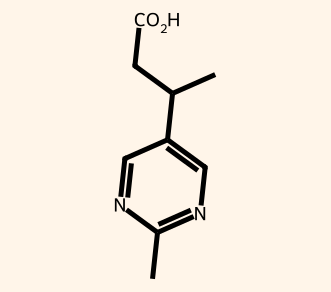 Cc1ncc(C(C)CC(=O)O)cn1